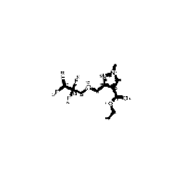 CCOC(=O)c1cn(C)nc1COCC(F)(F)C(F)F